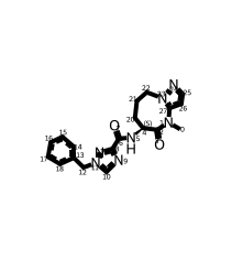 CN1C(=O)[C@@H](NC(=O)c2ncn(Cc3ccccc3)n2)CCCn2nccc21